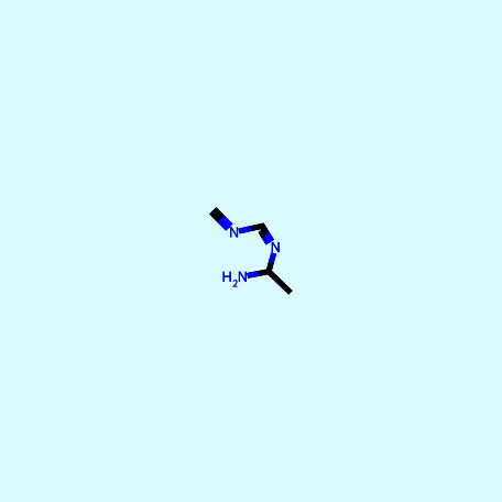 C=N/C=N\C(C)N